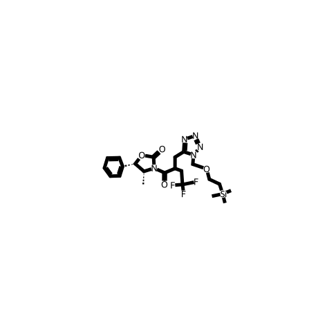 C[C@@H]1[C@H](c2ccccc2)OC(=O)N1C(=O)C(Cc1nnnn1COCC[Si](C)(C)C)CC(F)(F)F